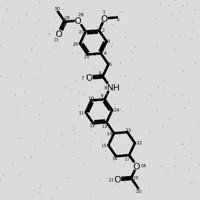 COc1cc(CC(=O)Nc2cccc(C3CCC(OC(C)=O)CC3)c2)ccc1OC(C)=O